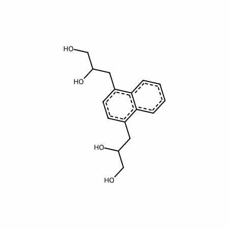 OCC(O)Cc1ccc(CC(O)CO)c2ccccc12